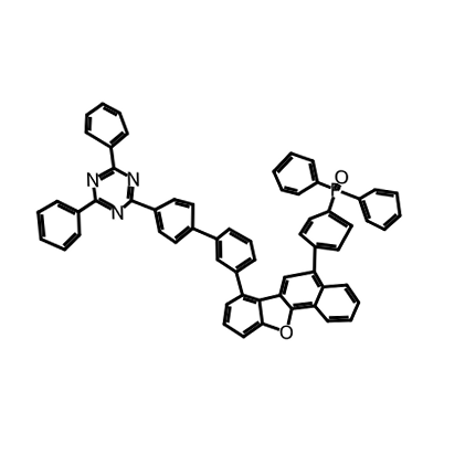 O=P(c1ccccc1)(c1ccccc1)c1ccc(-c2cc3c(oc4cccc(-c5cccc(-c6ccc(-c7nc(-c8ccccc8)nc(-c8ccccc8)n7)cc6)c5)c43)c3ccccc23)cc1